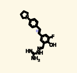 N=C(N)NN=Cc1cc(/C=C/c2ccc(N3CCCC3)cc2)cc(F)c1O